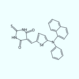 O=C1NC(=S)NC(=O)C1=Cc1ccc(N(c2ccccc2)c2cccc3ccccc23)[se]1